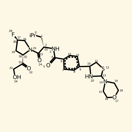 CC(C)C[C@H](NC(=O)c1ccc(C2CSC(N3CCOCC3)N2)cc1)C(=O)N1C[C@H](F)C[C@H]1C(=O)CO